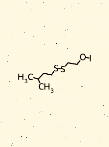 CC(C)CCSSCCOI